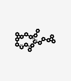 c1ccc(-c2ccc3c(c2)c2cc(-c4cccc(-c5ccc6c(c5)c5ccccc5c5ccc(-c7cccc(-c8cccc(-c9cccc(-n%10c%11ccccc%11c%11ccccc%11%10)c9)n8)c7)cc56)c4)ccc2n3-c2cccc(-c3cccc(-c4cccc(-c5ccc6c7ccccc7c7ccccc7c6c5)c4)c3)n2)cc1